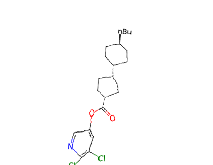 CCCC[C@H]1CC[C@H](C2CCC(C(=O)Oc3cnc(Cl)c(Cl)c3)CC2)CC1